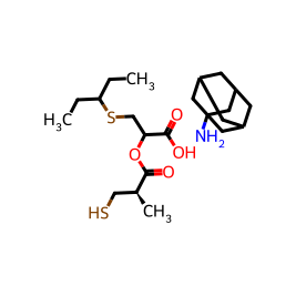 CCC(CC)SCC(OC(=O)[C@@H](C)CS)C(=O)O.NC12CC3CC(CC(C3)C1)C2